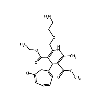 CCOC(=O)C1=C(COCCN)NC(C)=C(C(=O)OC)C1C1=CC=CC=C(Cl)C1